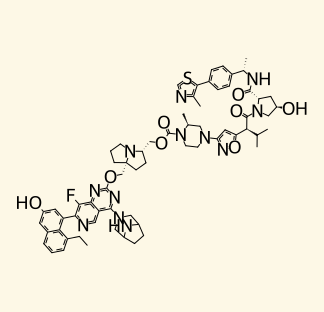 CCc1cccc2cc(O)cc(-c3ncc4c(N5CC6CCC(C5)N6)nc(OC[C@]56CCCN5[C@H](COC(=O)N5CCN(c7cc([C@@H](C(=O)N8C[C@H](O)C[C@H]8C(=O)N[C@@H](C)c8ccc(-c9scnc9C)cc8)C(C)C)on7)C[C@@H]5C)CC6)nc4c3F)c12